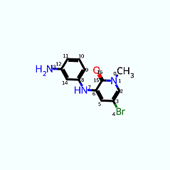 Cn1cc(Br)cc(Nc2cccc(N)c2)c1=O